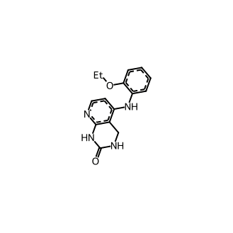 CCOc1ccccc1Nc1ccnc2c1CNC(=O)N2